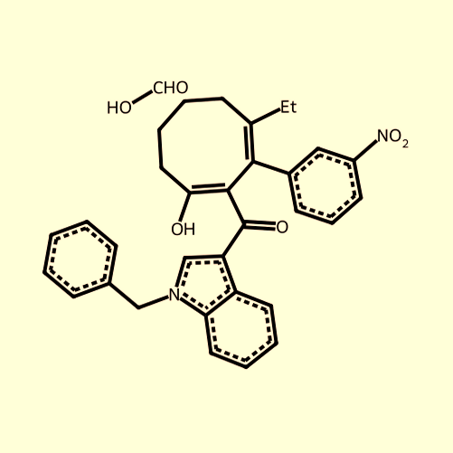 CCC1=C(c2cccc([N+](=O)[O-])c2)C(C(=O)c2cn(Cc3ccccc3)c3ccccc23)=C(O)CCCC1.O=CO